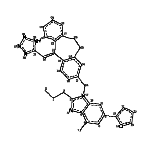 CCCc1nc2c(C)cc(-c3ccco3)cc2n1Cc1ccc2c(c1)CCc1ccccc1C2=Cc1nnn[nH]1